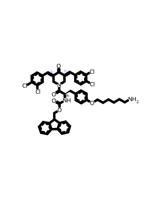 NCCCCCCOc1ccc(C[C@@H](NC(=O)OCC2c3ccccc3-c3ccccc32)C(=O)N2C/C(=C\c3ccc(Cl)c(Cl)c3)C(=O)/C(=C/c3ccc(Cl)c(Cl)c3)C2)cc1